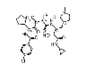 CCC[C@@H](C(=O)N[C@@H](C[C@@H]1CCNC1=O)C(O)C(=O)NC1CC1)N(C)C(=O)[C@H](NC(=O)c1ccc(Cl)cc1)C1CCCC1